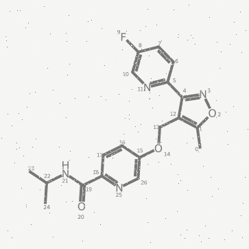 Cc1onc(-c2ccc(F)cn2)c1COc1ccc(C(=O)NC(C)C)nc1